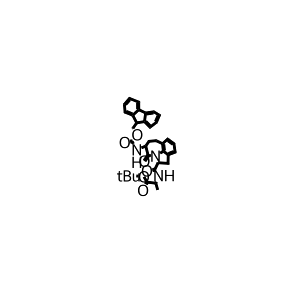 CC(NC(=O)C1Cc2cccc3c2N1C(=O)C(NC(=O)OCC1c2ccccc2-c2ccccc21)CC3)C(=O)OC(C)(C)C